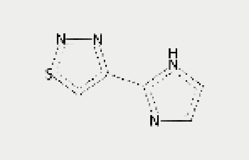 c1c[nH]c(-c2csnn2)n1